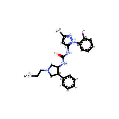 COCCN1CC(NC(=O)Nc2cc(C(C)C)nn2-c2ccccc2I)C(c2ccccc2)C1